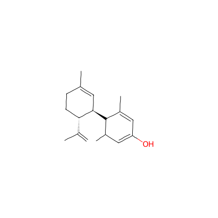 C=C(C)[C@@H]1CCC(C)=C[C@H]1C1C(C)=CC(O)=CC1C